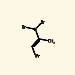 CC(=CC(C)C)B(Br)Br